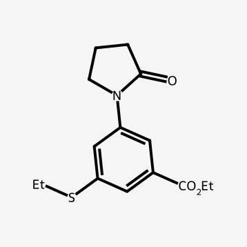 CCOC(=O)c1cc(SCC)cc(N2CCCC2=O)c1